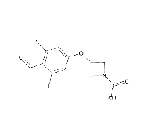 O=Cc1c(F)cc(OC2CN(C(=O)O)C2)cc1F